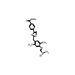 CCN(C)C=Nc1cc(C)c(Cc2nc(-c3ccc(C(=O)NC)cc3)cs2)cc1C